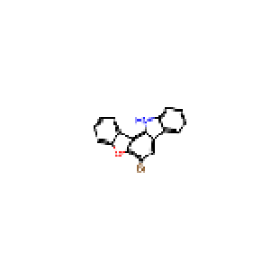 Brc1cc2c3ccccc3[nH]c2c2c1oc1ccccc12